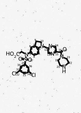 O=C(O)CN(c1ccc2c(c1)CCN2c1cnc(C(=O)N2CCNCC2)cn1)S(=O)(=O)c1cc(Cl)cc(Cl)c1